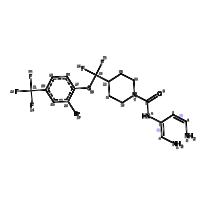 N/C=C\C(=C/N)NC(=O)N1CCC(C(F)(F)Sc2ccc(C(F)(F)F)cc2Br)CC1